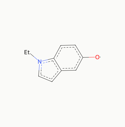 CCn1ccc2cc([O])ccc21